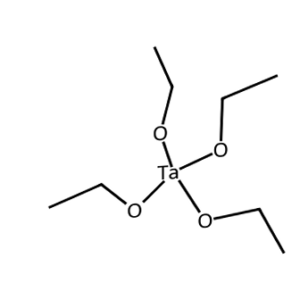 CC[O][Ta]([O]CC)([O]CC)[O]CC